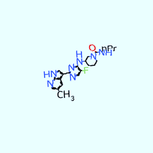 CCCNC(=O)N1CCC[C@@H](Nc2nc(-c3c[nH]c4ncc(C)cc34)ncc2F)C1